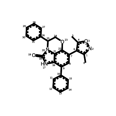 Cc1noc(C)c1-c1cc(-c2ccccc2)c2[nH]c(=O)n3c2c1OCC3c1ccccc1